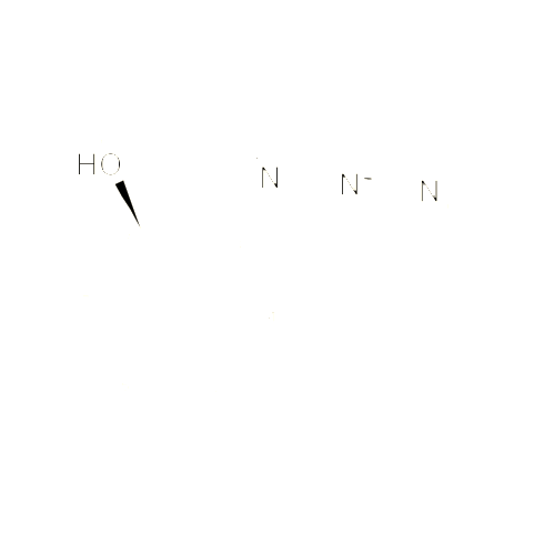 [N-]=[N+]=N[C@@H]1CCCC[C@H]1O